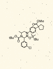 COC(=O)C1(c2ccc(NCC(C)N(C(=O)OC(C)(C)C)C(CO[Si](C)(C)C(C)(C)C)c3cccc(Cl)c3)cc2)CCCC1